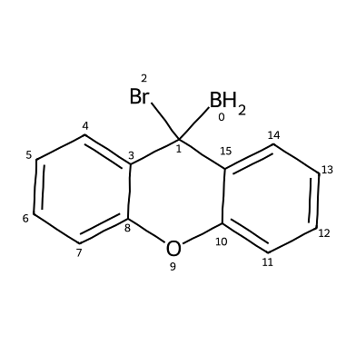 BC1(Br)c2ccccc2Oc2ccccc21